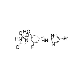 CC(C)c1cnc(NCc2cc(O)c(N3CC(=O)NS3(=O)=O)c(F)c2)nc1